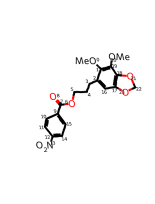 COc1c(CCCOC(=O)c2ccc([N+](=O)[O-])cc2)cc2c(c1OC)OCO2